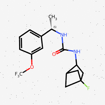 C[C@H](NC(=O)NC1CC2(F)CC1C2)c1cccc(OC(F)(F)F)c1